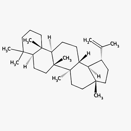 C=C(C)[C@@H]1CC[C@]2(C)CC[C@]3(C)[C@H](CC[C@@H]4[C@@]5(C)CCCC(C)(C)[C@@H]5CC[C@]43C)[C@@H]12